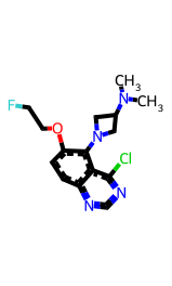 CN(C)C1CN(c2c(OCCF)ccc3ncnc(Cl)c23)C1